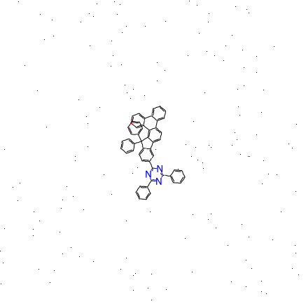 c1ccc(-c2nc(-c3ccccc3)nc(-c3ccc4c(c3)-c3ccc5c6ccccc6c6ccccc6c5c3C4(c3ccccc3)c3ccccc3)n2)cc1